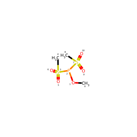 COP(S(C)(=O)=O)S(C)(=O)=O